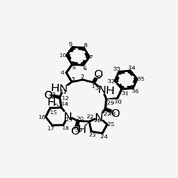 O=C1CC(Cc2ccccc2)NC(=O)[C@@H]2CCCCN2C(=O)[C@@H]2CCCN2C(=O)[C@H](Cc2ccccc2)N1